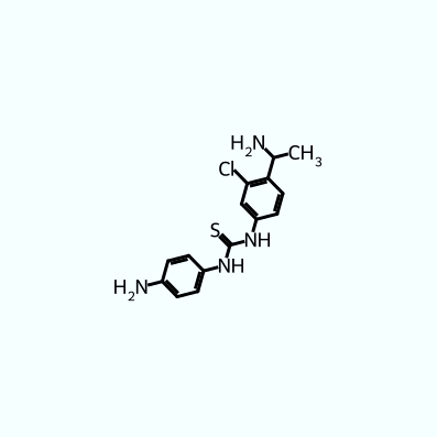 CC(N)c1ccc(NC(=S)Nc2ccc(N)cc2)cc1Cl